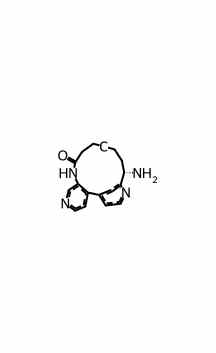 N[C@H]1CCCCCC(=O)Nc2cnccc2-c2ccnc1c2